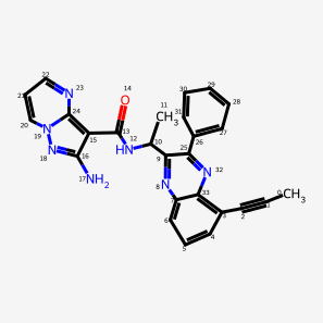 CC#Cc1cccc2nc(C(C)NC(=O)c3c(N)nn4cccnc34)c(-c3ccccc3)nc12